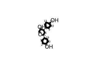 Oc1ccc([C@H]2C[C@@H](c3ccc(O)cc3)[C@H](O)CO2)cc1